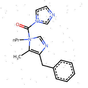 CCC[N+]1(C(=O)n2ccnc2)C=NC(Cc2ccccc2)=C1C